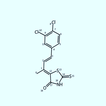 CC(/C=C/c1ccc(Cl)c(Cl)c1)=C1SC(=S)NC1=O